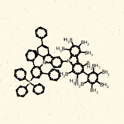 Bc1c(B)c(B)c(-c2c(B)c(B)c3c(c2B)c2c(B)c(B)c(B)c(B)c2n3-c2ccc3c(c2)c2c(n3-c3c(-c4c#cccc4)cc(S(c4ccccc4)(c4ccccc4)c4ccccc4)cc3-c3ccccc3)CCC(c3ccccc3)=C2)c(B)c1B